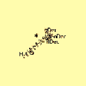 C=CC(=O)CCCCCCCCCCC[N+](CCCCCCCCCCCC)(CCCCCCCCCCCC)CCCCCCCCCCCC.[I-]